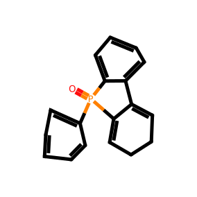 O=P1(c2ccccc2)C2=CCCC=C2c2ccccc21